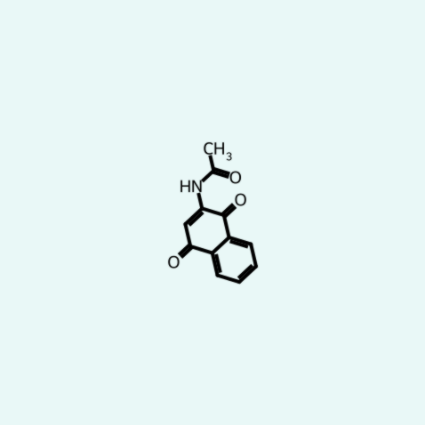 CC(=O)NC1=CC(=O)c2ccccc2C1=O